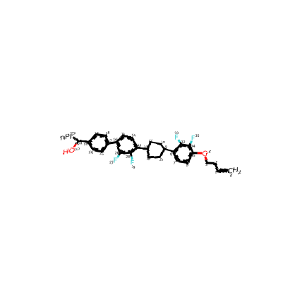 C=CCCOc1ccc(C2CCC(c3ccc(-c4ccc(C(O)CCC)cc4)c(F)c3F)CC2)c(F)c1F